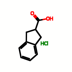 Cl.O=C(O)C1Cc2ccccc2C1